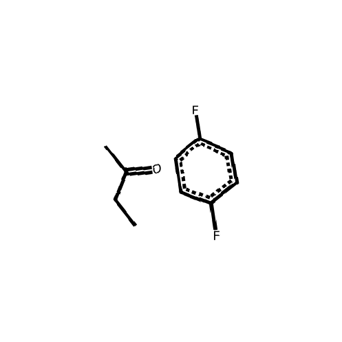 CCC(C)=O.Fc1ccc(F)cc1